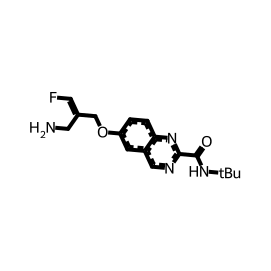 CC(C)(C)NC(=O)c1ncc2cc(OC/C(=C/F)CN)ccc2n1